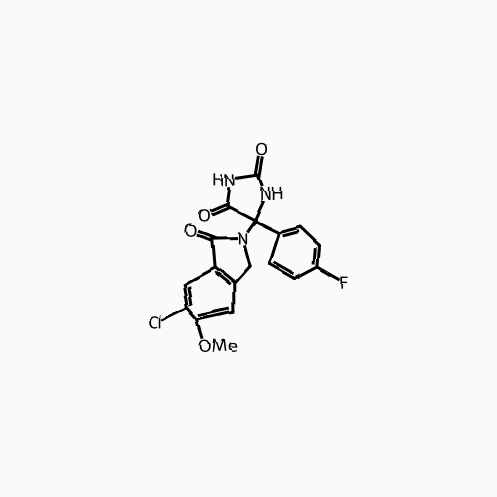 COc1cc2c(cc1Cl)C(=O)N(C1(c3ccc(F)cc3)NC(=O)NC1=O)C2